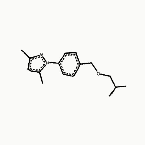 Cc1cc(C)n(-c2ccc(COCC(C)C)cc2)n1